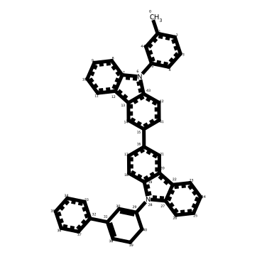 Cc1cccc(-n2c3ccccc3c3cc(-c4ccc5c(c4)c4ccccc4n5C4=CC(c5ccccc5)=CCC4)ccc32)c1